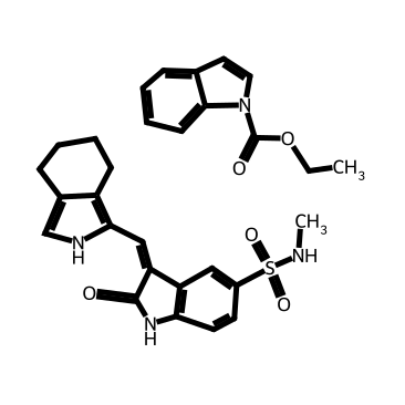 CCOC(=O)n1ccc2ccccc21.CNS(=O)(=O)c1ccc2c(c1)C(=Cc1[nH]cc3c1CCCC3)C(=O)N2